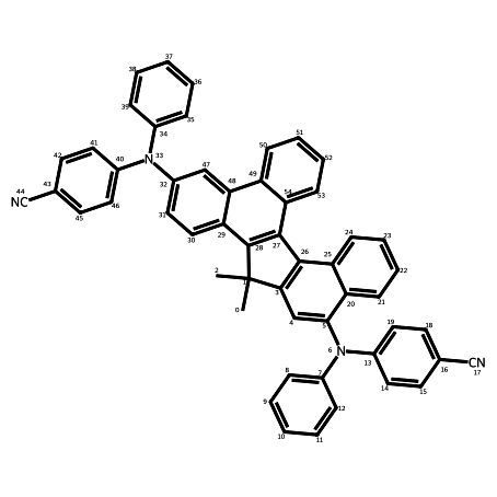 CC1(C)c2cc(N(c3ccccc3)c3ccc(C#N)cc3)c3ccccc3c2-c2c1c1ccc(N(c3ccccc3)c3ccc(C#N)cc3)cc1c1ccccc21